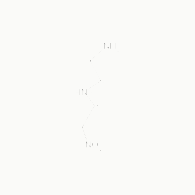 NCCNCC[N+](=O)[O-]